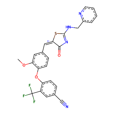 COc1cc(/C=C2/SC(NCc3ccccn3)=NC2=O)ccc1Oc1ccc(C#N)cc1C(F)(F)F